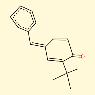 CC(C)(C)C1=CC(=Cc2ccccc2)C=CC1=O